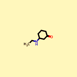 CCNC1CCCC(=O)C1